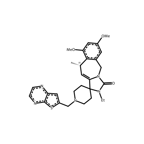 CCN1C(=O)N2Cc3cc(OC)cc(OC)c3[C@@H](C)C=C2C12CCN(Cc1cc3nccnc3s1)CC2